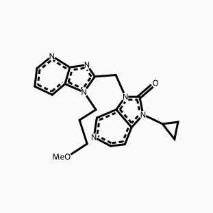 COCCCn1c(Cn2c(=O)n(C3CC3)c3ccncc32)nc2ncccc21